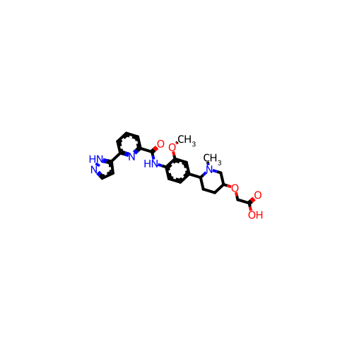 COc1cc(C2CCC(OCC(=O)O)CN2C)ccc1NC(=O)c1cccc(-c2ccn[nH]2)n1